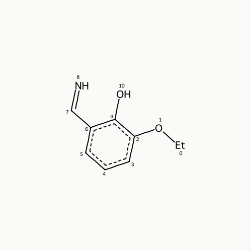 CCOc1cccc(C=N)c1O